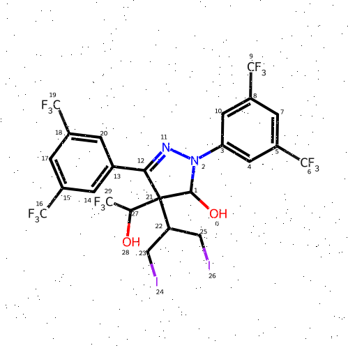 OC1N(c2cc(C(F)(F)F)cc(C(F)(F)F)c2)N=C(c2cc(C(F)(F)F)cc(C(F)(F)F)c2)C1(C(CI)CI)C(O)C(F)(F)F